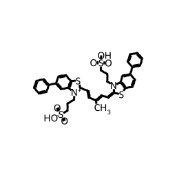 CC(C=Cc1sc2ccc(-c3ccccc3)cc2[n+]1CCCS(=O)(=O)O)=CC=C1Sc2ccc(-c3ccccc3)cc2N1CCCS(=O)(=O)O